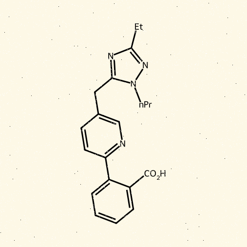 CCCn1nc(CC)nc1Cc1ccc(-c2ccccc2C(=O)O)nc1